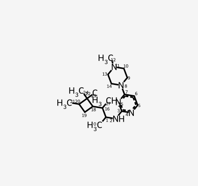 CC(Nc1nccc(N2CCN(C)CC2)n1)C(C)C1CC(C)C1(C)C